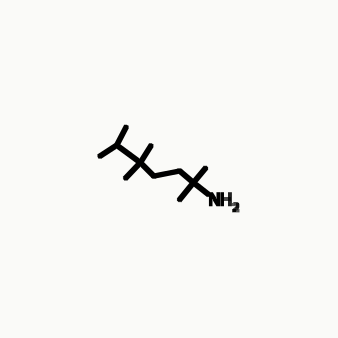 CC(C)C(C)(C)CCC(C)(C)N